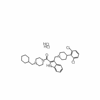 Cl.Cl.O=C(c1[nH]c2ccccc2c1CN1CCC(c2c(Cl)cccc2Cl)CC1)N1CCN(CC2CCCCC2)CC1